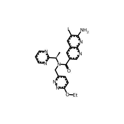 CCOc1ccc(CN(C(=O)c2cnc3nc(N)c(I)cc3c2)[C@H](C)c2ncccn2)nn1